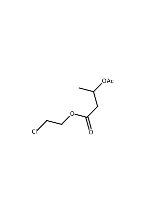 CC(=O)OC(C)CC(=O)OCCCl